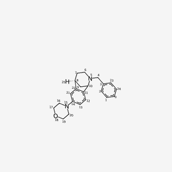 c1ccc(CN2CC[C@H]3CC2c2ccc(N4CCOCC4)cc23)cc1